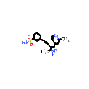 Cc1cc(-c2n[nH]c(C)c2C#Cc2cccc(S(N)(=O)=O)c2)ccn1